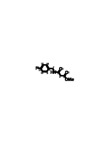 COC(=O)CC(=O)NCc1ccc(F)cc1